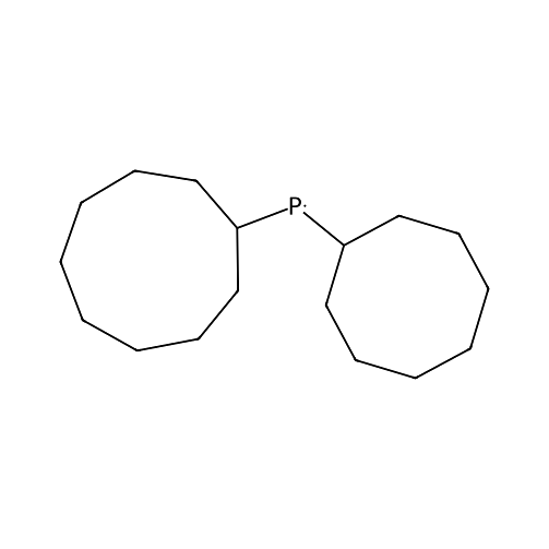 C1CCCCC([P]C2CCCCCCC2)CCC1